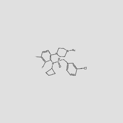 [CH2]c1ccc(N2CCN(C(C)=O)CC2)c(N(C2CCC2)S(=O)(=O)Cc2cccc(Cl)c2)c1F